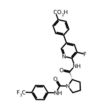 O=C(O)c1ccc(-c2cnc(NC(=O)[C@@H]3CCCN3C(=O)Nc3ccc(C(F)(F)F)cc3)c(F)c2)cc1